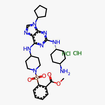 COC(=O)c1ccccc1S(=O)(=O)N1CCC(Nc2nc(N[C@H]3CC[C@H](N)CC3)nc3c2ncn3C2CCCC2)CC1.Cl.Cl